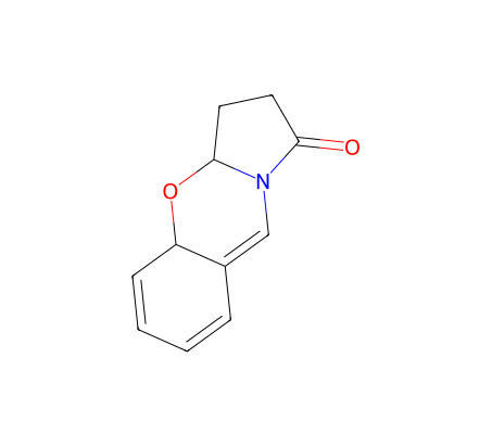 O=C1CCC2OC3C=CC=CC3=CN12